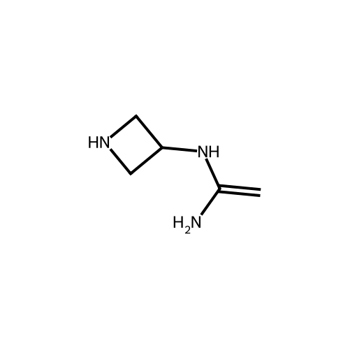 C=C(N)NC1CNC1